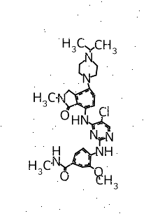 CNC(=O)c1ccc(Nc2ncc(Cl)c(Nc3ccc(N4CCN(C(C)C)CC4)c4c3C(=O)N(C)C4)n2)c(OC)c1